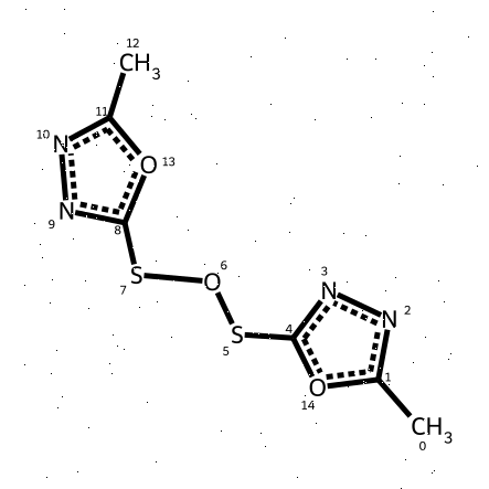 Cc1nnc(SOSc2nnc(C)o2)o1